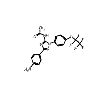 CC(=O)Nc1nc(-c2ccc(N)cc2)nn1-c1ccc(OC(F)(F)C(F)(F)F)cc1